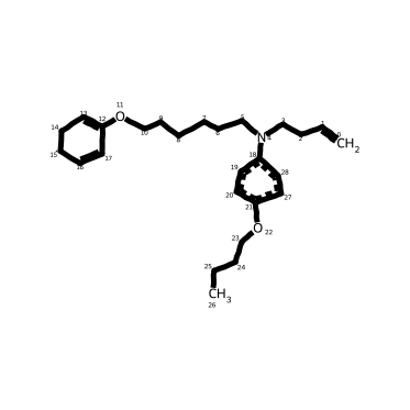 C=CCCN(CCCCCCOC1=CC[CH]C=C1)c1ccc(OCCCC)cc1